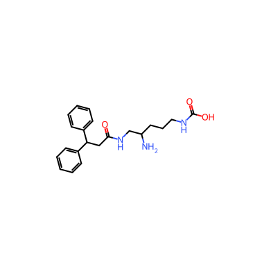 NC(CCCNC(=O)O)CNC(=O)CC(c1ccccc1)c1ccccc1